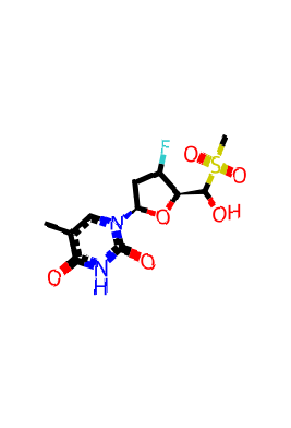 Cc1cn([C@H]2CC(F)[C@@H](C(O)S(C)(=O)=O)O2)c(=O)[nH]c1=O